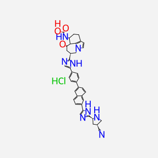 Cl.N#C[C@@H]1CN[C@H](c2ncc(-c3ccc4cc(-c5ccc(-c6cnc([C@H]7CC(=O)C8c9c(ccn9C7)CC[C@@H]8NC(=O)O)[nH]6)cc5)ccc4c3)[nH]2)C1